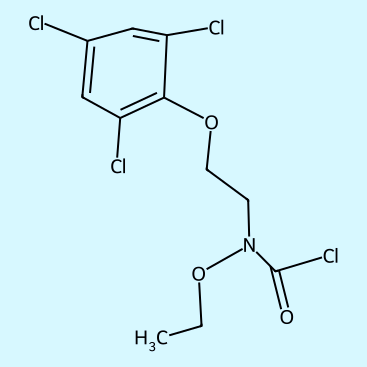 CCON(CCOc1c(Cl)cc(Cl)cc1Cl)C(=O)Cl